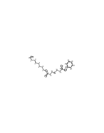 CC(C)CCCCCCCOC(=O)CCSCCC(=O)Oc1ccccc1